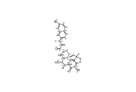 C=CC1(C)CCN([C@H](C(=O)N[C@@H](C)C(O)N2CCC[C@@H](C(=O)N[C@H](C)c3ccc4ccc(Br)cc4n3)N2)C(C)C)C1=O